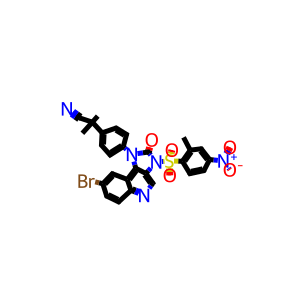 Cc1cc([N+](=O)[O-])ccc1S(=O)(=O)n1c(=O)n(-c2ccc(C(C)(C)C#N)cc2)c2c3cc(Br)ccc3ncc21